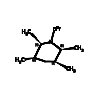 CCCN1[C@H](C)[C@H](C)C[C@H](C)[C@@H]1C